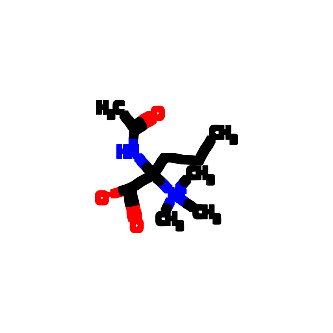 CCCC(NC(C)=O)(C(=O)[O-])[N+](C)(C)C